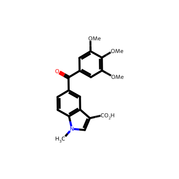 COc1cc(C(=O)c2ccc3c(c2)c(C(=O)O)cn3C)cc(OC)c1OC